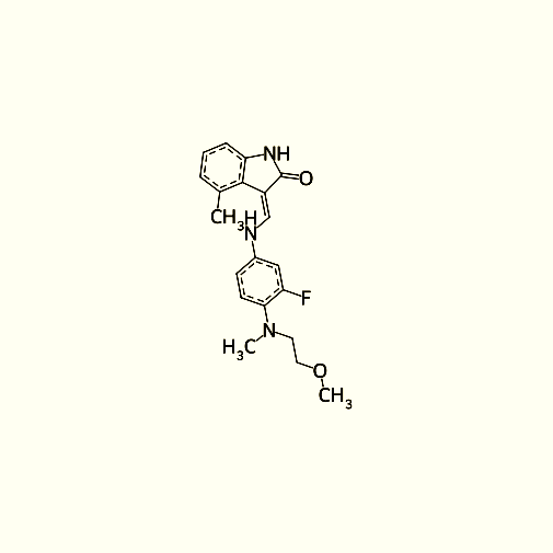 COCCN(C)c1ccc(N/C=C2/C(=O)Nc3cccc(C)c32)cc1F